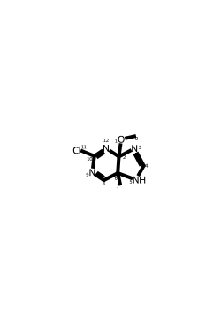 COC12N=CNC1(C)C=NC(Cl)=N2